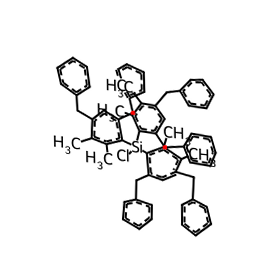 Cc1c(Cc2ccccc2)cc(Cc2ccccc2)c([Si](Cl)(c2c(Cc3ccccc3)cc(Cc3ccccc3)c(C)c2C)c2c(Cc3ccccc3)cc(Cc3ccccc3)c(C)c2C)c1C